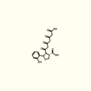 O=C(O)CC(=O)CC(=O)CC(=O)N1C(c2ccccc2O)SC[C@H]1C(=O)O